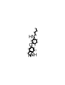 CCCCN[C@H]1CCC[C@H](Oc2ccc3[nH]ncc3c2)C1